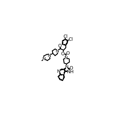 CN1CCN(C2CCN(C(=O)C(Cc3ccc(Cl)c(Cl)c3)OC(=O)N3CCC(n4c(=O)[nH]c5c6ccccc6ncc54)CC3)CC2)CC1